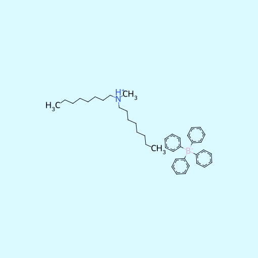 CCCCCCCC[NH+](C)CCCCCCCC.c1ccc([B-](c2ccccc2)(c2ccccc2)c2ccccc2)cc1